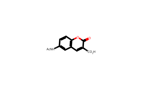 CC(=O)Nc1ccc2oc(=O)c(C(=O)O)cc2c1